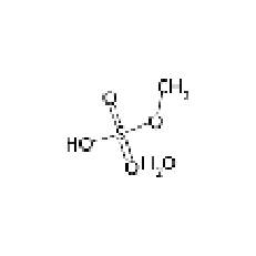 COS(=O)(=O)O.O